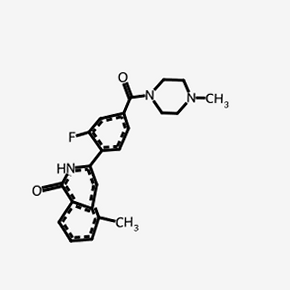 Cc1cccc2c(=O)[nH]c(-c3ccc(C(=O)N4CCN(C)CC4)cc3F)cc12